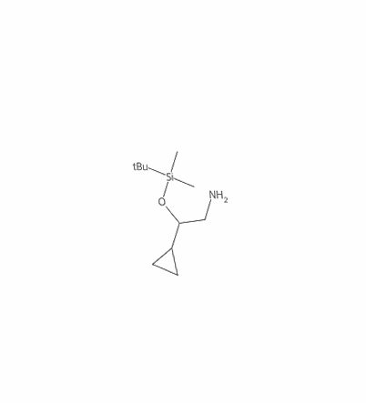 CC(C)(C)[Si](C)(C)OC(CN)C1CC1